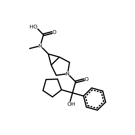 CN(C(=O)O)C1C2CN(C(=O)C(O)(c3ccccc3)C3CCCC3)CC21